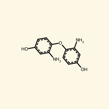 Nc1cc(O)ccc1Oc1ccc(O)cc1N